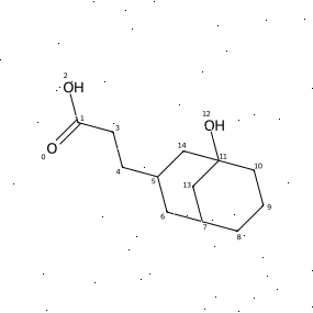 O=C(O)CCC1CC2CCCC(O)(C2)C1